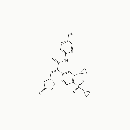 Cc1cnc(NC(=O)/C(=C/C2CCC(=O)C2)c2ccc(S(=O)(=O)C3CC3)c(C3CC3)c2)cn1